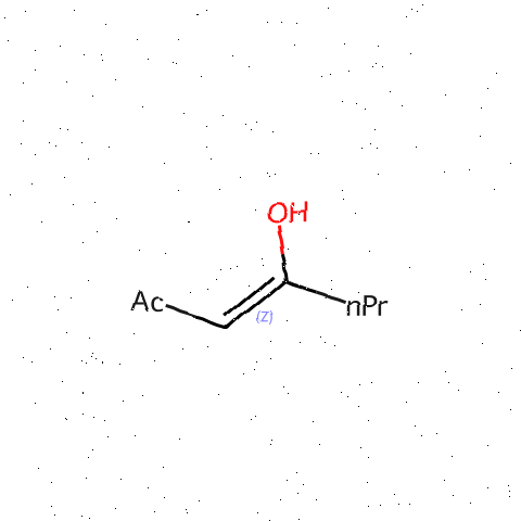 CCC/C(O)=C/C(C)=O